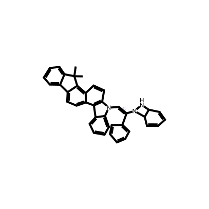 CC1(C)c2ccccc2-c2ccc3c(ccc4c3c3ccccc3n4/C=C(\c3ccccc3)N3NC4C=CC=CC43)c21